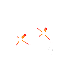 O=P([O-])([O-])[O-].O=P([O-])([O-])[O-].[Mg+2].[V+5]